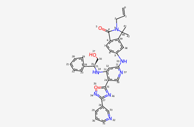 C=CCN1C(=O)c2ccc(Nc3cc(N[C@H](CO)c4ccccc4)c(-c4nc(-c5cccnc5)no4)cn3)cc2C1(C)C